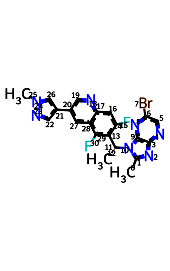 Cc1nc2ncc(Br)nc2n1[C@H](C)c1c(F)cc2ncc(-c3cnn(C)c3)cc2c1F